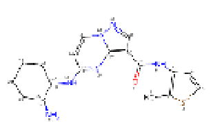 N#Cc1sccc1NC(=O)c1cnn2ccc(N[C@@H]3CCCC[C@@H]3N)nc12